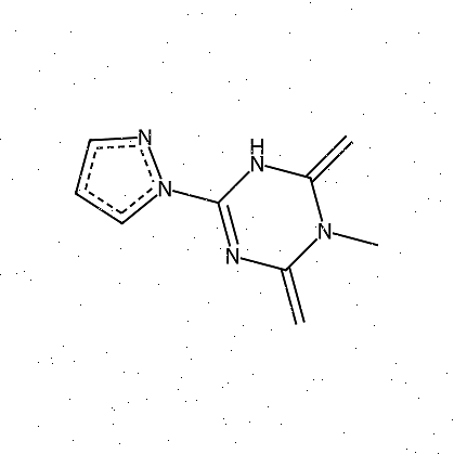 C=C1N=C(n2cccn2)NC(=C)N1C